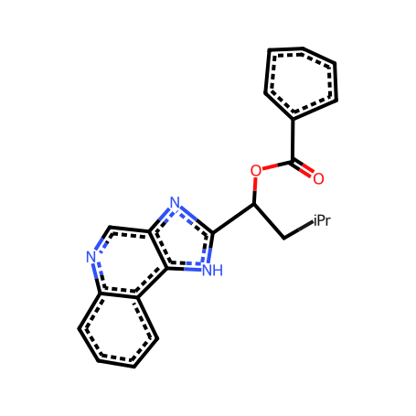 CC(C)CC(OC(=O)c1ccccc1)c1nc2cnc3ccccc3c2[nH]1